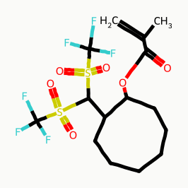 C=C(C)C(=O)OC1CCCCCCC1C(S(=O)(=O)C(F)(F)F)S(=O)(=O)C(F)(F)F